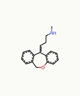 CNCCC=C1c2ccccc2COc2ccccc21